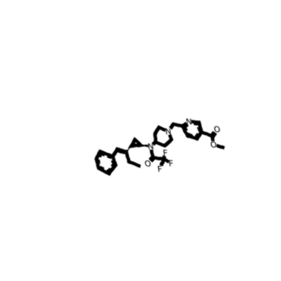 CC/C(=C\c1ccccc1)[C@@H]1C[C@H]1N(C(=O)C(F)(F)F)C1CCN(Cc2ccc(C(=O)OC)cn2)CC1